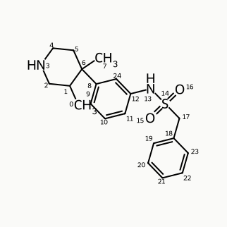 CC1CNCCC1(C)c1cccc(NS(=O)(=O)Cc2ccccc2)c1